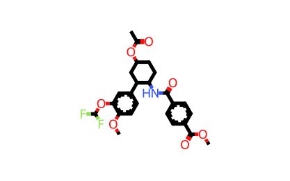 COC(=O)c1ccc(C(=O)NC2CCC(OC(C)=O)CC2c2ccc(OC)c(OC(F)F)c2)cc1